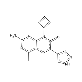 Cc1nc(N)nc2c1cc(-c1cn[nH]c1)c(=O)n2C1=CC=C1